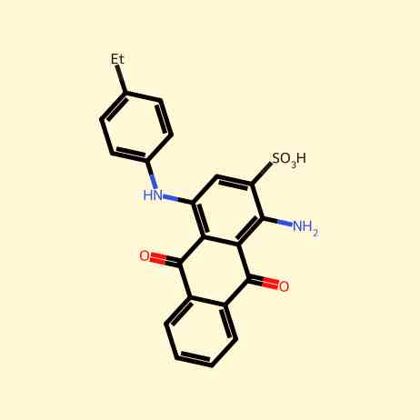 CCc1ccc(Nc2cc(S(=O)(=O)O)c(N)c3c2C(=O)c2ccccc2C3=O)cc1